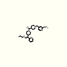 CCCON=C(c1ccccn1)C1CCN(C(=O)C2CCN(Cc3ccnc(N)c3)CC2)CC1